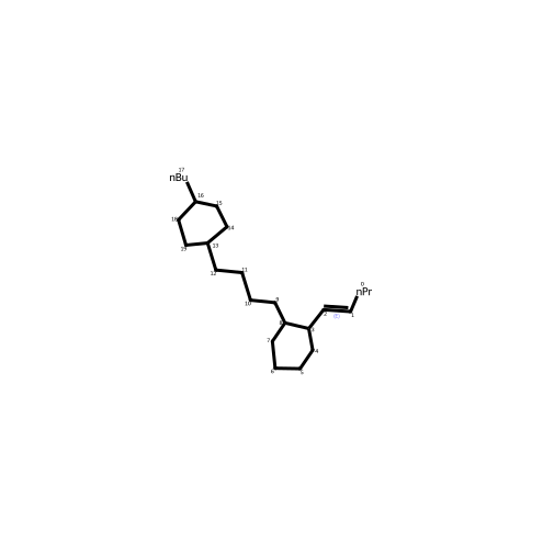 CCC/C=C/C1CCCCC1CCCCC1CCC(CCCC)CC1